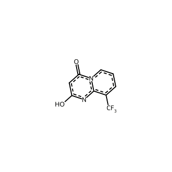 O=c1cc(O)nc2c(C(F)(F)F)cccn12